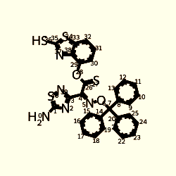 Nc1nc(/C(=N/OC(c2ccccc2)(c2ccccc2)c2ccccc2)C(=S)Oc2cccc3sc(S)nc23)ns1